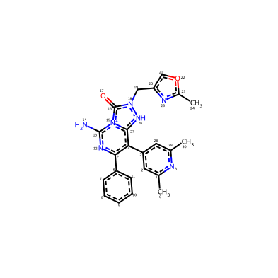 Cc1cc(-c2c(-c3ccccc3)nc(N)[n+]3c(=O)n(Cc4coc(C)n4)[nH]c23)cc(C)n1